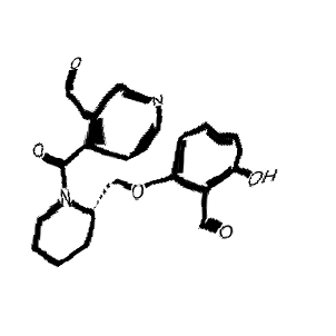 O=Cc1cnccc1C(=O)N1CCCC[C@H]1COc1cccc(O)c1C=O